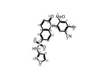 COc1cc(Br)c(C#N)cc1-n1c(=O)ccc2cc(S(=O)(=O)Nc3ccon3)ccc21